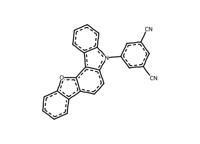 N#Cc1cc(C#N)cc(-n2c3ccccc3c3c4oc5ccccc5c4ccc32)c1